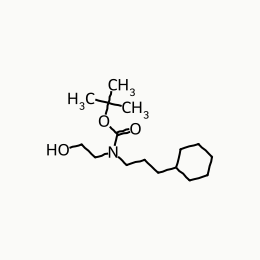 CC(C)(C)OC(=O)N(CCO)CCCC1CCCCC1